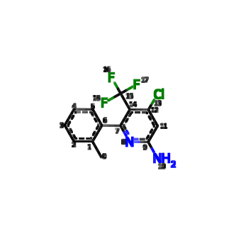 Cc1ccccc1-c1nc(N)cc(Cl)c1C(F)(F)F